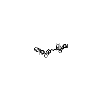 O=C(NCCCCC1CCN(C(=O)c2ccc(N3CCOCC3)nc2)CC1)c1cc2cnccc2[nH]1